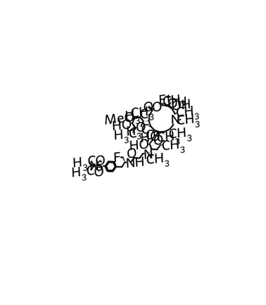 CC[C@H]1OC(=O)[C@H](C)C([C@H]2C[C@@](C)(OC)[C@@H](O)[C@H](C)O2)[C@H](C)[C@@H](O[C@@H]2O[C@H](C)C[C@H](N(C)CCC(=O)N[C@H](CF)Cc3ccc(S(=O)(=O)N(C)C)cc3)[C@H]2O)[C@](C)(O)C[C@@H](C)CN(C)[C@H](C)[C@@H](O)[C@]1(C)O